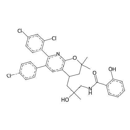 CC(O)(CNC(=O)c1ccccc1O)CC1CC(C)(C)Oc2nc(-c3ccc(Cl)cc3Cl)c(-c3ccc(Cl)cc3)cc21